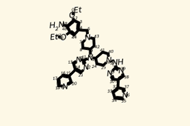 CCOc1cc(CN2CCC(N(c3ncc(-c4cccnc4)cn3)C3CCN(Nc4ncc(-c5cccnc5)cn4)CC3)CC2)cc(OCC)c1N